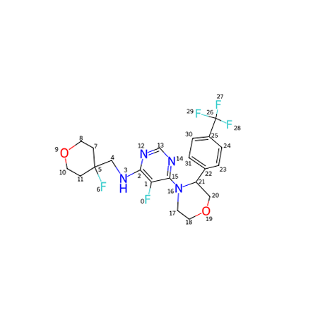 Fc1c(NCC2(F)CCOCC2)ncnc1N1CCOCC1c1ccc(C(F)(F)F)cc1